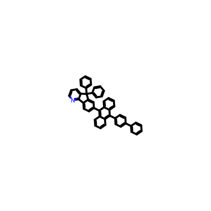 c1ccc(-c2ccc(-c3c4ccccc4c(-c4ccc5c(c4)C(c4ccccc4)(c4ccccc4)c4cccnc4-5)c4ccccc34)cc2)cc1